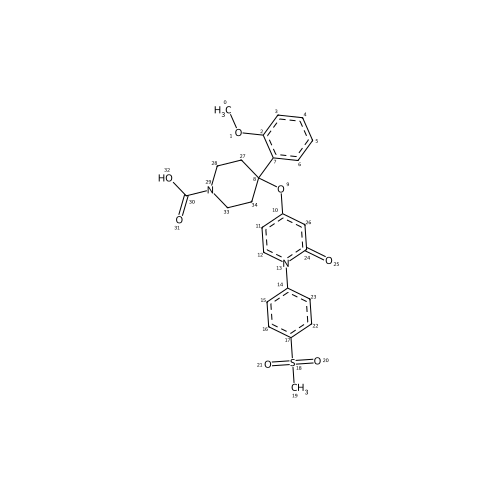 COc1ccccc1C1(Oc2ccn(-c3ccc(S(C)(=O)=O)cc3)c(=O)c2)CCN(C(=O)O)CC1